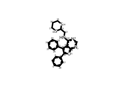 c1ccc(-c2oc3ncnc(NCC4SCCCS4)c3c2-c2ccccc2)cc1